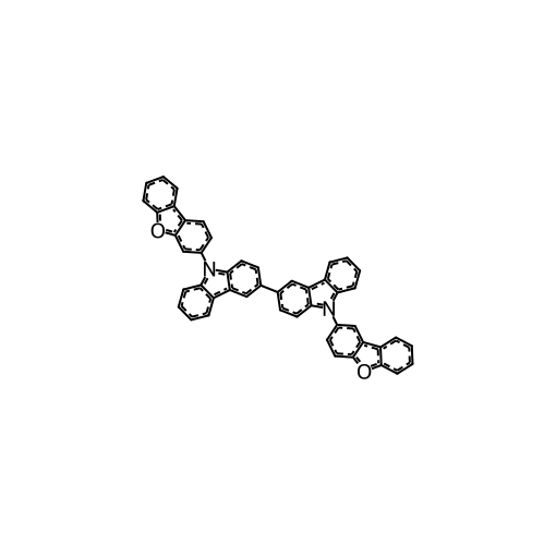 c1ccc2c(c1)oc1cc(-n3c4ccccc4c4cc(-c5ccc6c(c5)c5ccccc5n6-c5ccc6oc7ccccc7c6c5)ccc43)ccc12